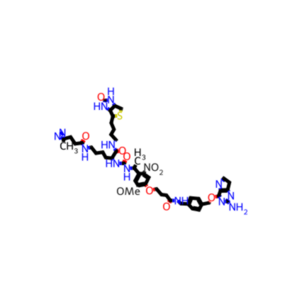 COc1cc(C(C)NC(=O)NC(CCCCNC(=O)CCC2(C)N=N2)C(=O)NCCCCC2SCC3NC(=O)NC32)c([N+](=O)[O-])cc1OCCCC(=O)NCc1ccc(COc2nc(N)nc3c2N=CC3)cc1